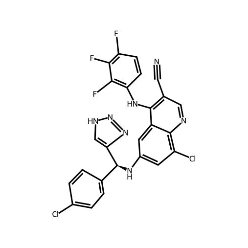 N#Cc1cnc2c(Cl)cc(N[C@@H](c3ccc(Cl)cc3)c3c[nH]nn3)cc2c1Nc1ccc(F)c(F)c1F